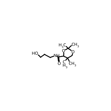 CC1(C)OCC(C)(C)C(C(=O)NCCCO)O1